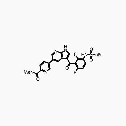 CCCS(=O)(=O)Nc1ccc(F)c(C(=O)c2c[nH]c3ncc(-c4ccc(C(=O)NC)nc4)cc23)c1F